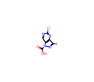 O=C(O)n1nc(I)c2nc(Cl)ncc21